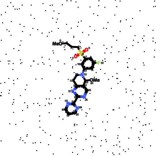 COCCCS(=O)(=O)c1cc(F)cc(N2CCc3nc(-c4ncccn4)ncc3C2OC)c1